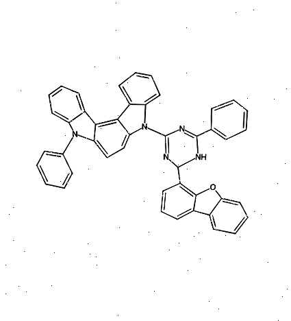 c1ccc(C2=NC(n3c4ccccc4c4c5c6ccccc6n(-c6ccccc6)c5ccc43)=NC(c3cccc4c3oc3ccccc34)N2)cc1